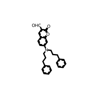 O=Cc1cc2ccc(N(CCCc3ccccc3)CCCc3ccccc3)cc2oc1=O